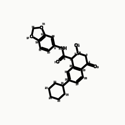 O=C1C[S+]([O-])C(C(=O)Nc2ccc3c(c2)OCO3)c2cc(C3CCCCC3)ccc21